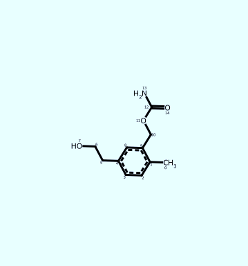 Cc1ccc(CCO)cc1COC(N)=O